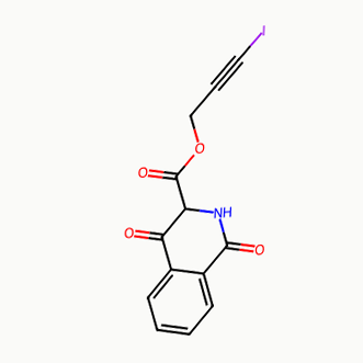 O=C1NC(C(=O)OCC#CI)C(=O)c2ccccc21